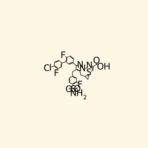 NS(=O)(=O)c1ccc(Cc2c(-c3ccc(F)c(-c4ccc(Cl)c(F)c4)c3)nn(-c3nc(C(=O)O)cs3)c2CC2CC2)cc1F